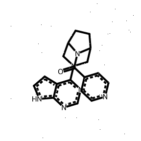 O=C(c1ccncc1)N1C2CCC1CN(c1ncnc3[nH]ccc13)C2